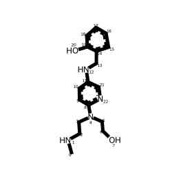 CNCCN(CCO)c1ccc(NCc2ccccc2O)cn1